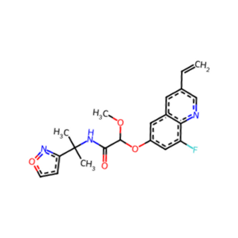 C=Cc1cnc2c(F)cc(OC(OC)C(=O)NC(C)(C)c3ccon3)cc2c1